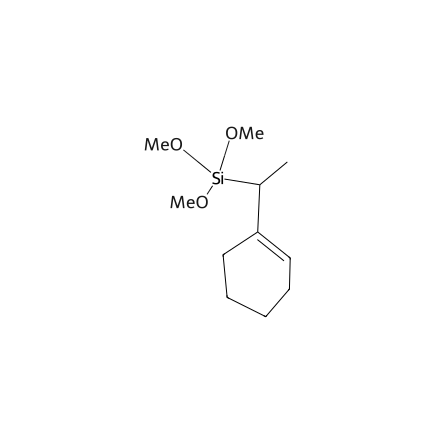 CO[Si](OC)(OC)C(C)C1=CCCCC1